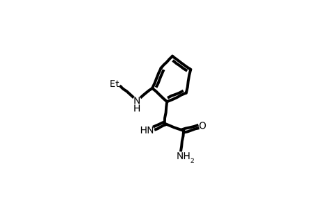 CCNc1ccccc1C(=N)C(N)=O